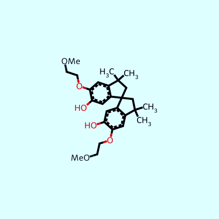 COCCOc1cc2c(cc1O)C1(CC2(C)C)CC(C)(C)c2cc(OCCOC)c(O)cc21